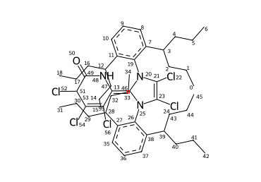 CCCC(CCC)c1cccc(C(CCC)CCC)c1N1C(Cl)=C(Cl)N(c2c(C(CCC)CCC)cccc2C(CCC)CCC)C1=C1NC(=O)C(Cl)C(Cl)=C1Cl